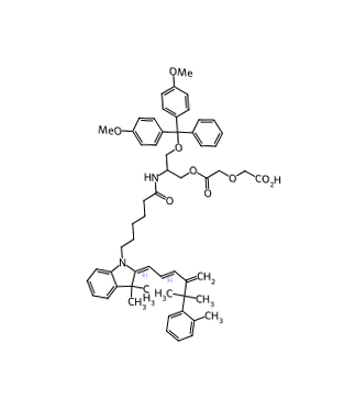 C=C(/C=C/C=C1/N(CCCCCC(=O)NC(COC(=O)COCC(=O)O)COC(c2ccccc2)(c2ccc(OC)cc2)c2ccc(OC)cc2)c2ccccc2C1(C)C)C(C)(C)c1ccccc1C